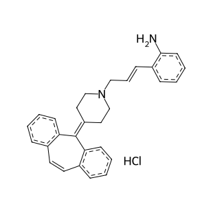 Cl.Nc1ccccc1C=CCN1CCC(=C2c3ccccc3C=Cc3ccccc32)CC1